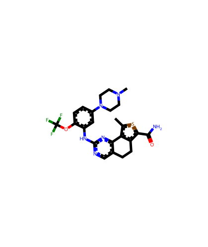 Cc1sc(C(N)=O)c2c1-c1nc(Nc3cc(N4CCN(C)CC4)ccc3OC(F)(F)F)ncc1CC2